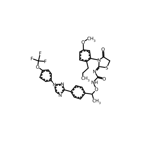 CCCc1ccc(OC)cc1N1C(=O)CS/C1=N\C(=O)NOC(C)c1ccc(-c2ncn(-c3ccc(OC(F)(F)F)cc3)n2)cc1